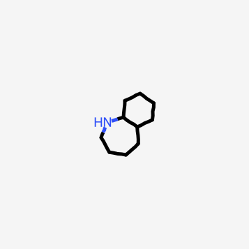 C1CCC2CCCCC2NC1